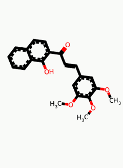 COc1cc(C=CC(=O)c2ccc3ccccc3c2O)cc(OC)c1OC